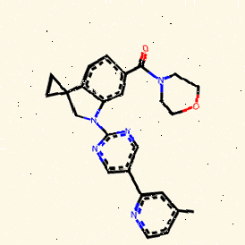 Cc1ccnc(-c2cnc(N3CC4(CC4)c4ccc(C(=O)N5CCOCC5)cc43)nc2)c1